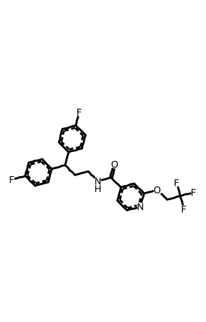 O=C(NCCC(c1ccc(F)cc1)c1ccc(F)cc1)c1ccnc(OCC(F)(F)F)c1